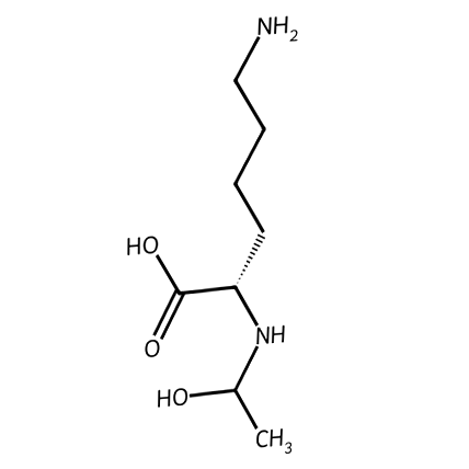 CC(O)N[C@@H](CCCCN)C(=O)O